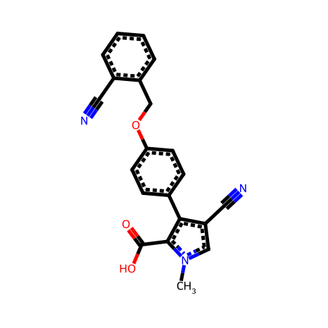 Cn1cc(C#N)c(-c2ccc(OCc3ccccc3C#N)cc2)c1C(=O)O